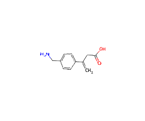 C=C(CC(=O)O)c1ccc(CN)cc1